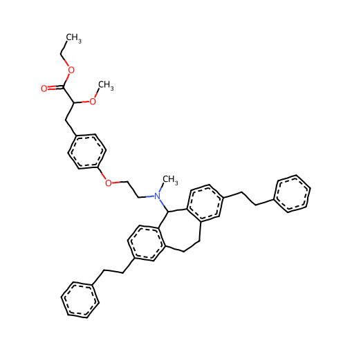 CCOC(=O)C(Cc1ccc(OCCN(C)C2c3ccc(CCc4ccccc4)cc3CCc3cc(CCc4ccccc4)ccc32)cc1)OC